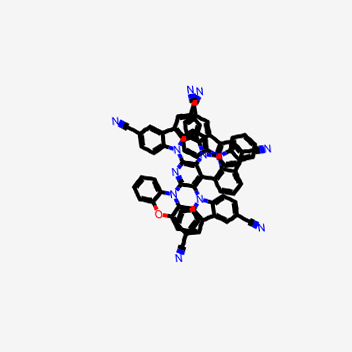 N#Cc1ccc2c(c1)c1cc(C#N)ccc1n2-c1nc(N2c3ccccc3Oc3ccccc32)c(-n2c3ccc(C#N)cc3c3cc(C#N)ccc32)c(-c2cccc3c4ccccc4n(-c4ccccc4)c23)c1-n1c2ccc(C#N)cc2c2cc(C#N)ccc21